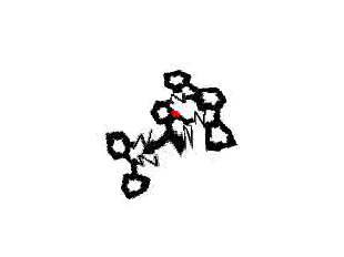 c1ccc(-c2nc(-c3ccc(-n4c5ccccc5c5ccc6c7ccccc7n(-c7ccccc7)c6c54)nc3)nc3ccccc23)cc1